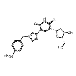 CCCCCCCc1ccc(Cn2cc(-c3cn([C@@H]4CC(O)[C@H](CO)O4)c(=O)[nH]c3=O)nn2)cc1